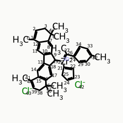 CC1=CCC(C)(C)c2cc3c(cc21)-c1cc2c(cc1[CH]3/[Zr+2]([C]1=CC=CC1)=[C](\C)c1ccc(C)cc1)C(C)(C)CC=C2C.[Cl-].[Cl-]